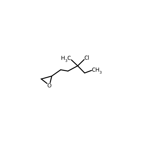 CCC(C)(Cl)CCC1CO1